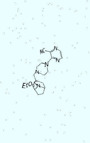 CCOC(=O)N1C2CCC1CC(CN1CCN(c3nccnc3C#N)CC1)C2